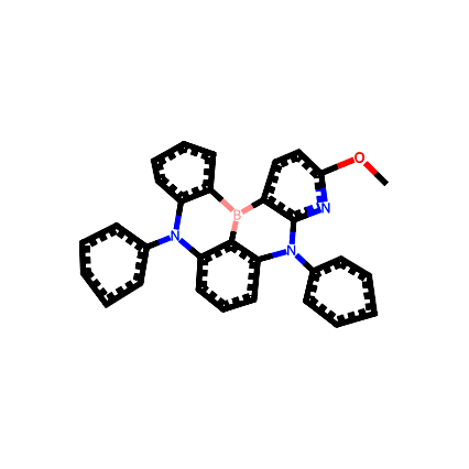 COc1ccc2c(n1)N(c1ccccc1)c1cccc3c1B2c1ccccc1N3c1ccccc1